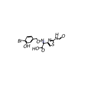 O=CNc1nc(/C(=N/OCc2ccc(Br)c(O)c2)C(=O)O)cs1